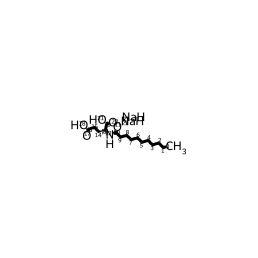 CCCCCCCCCCC(=O)N[C@@H](CCC(=O)O)C(=O)O.[NaH].[NaH]